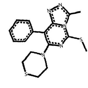 CSc1nc(N2CCSCC2)c(-c2ccccc2)c2nnc(C)n12